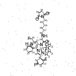 CC(C)(C)[C@H](c1nc(-c2cc(F)ccc2F)cn1Cc1ccccc1)N(CC[C@H](N)CF)C(=O)CNCCCCCCN1C(=O)C=CC1=O